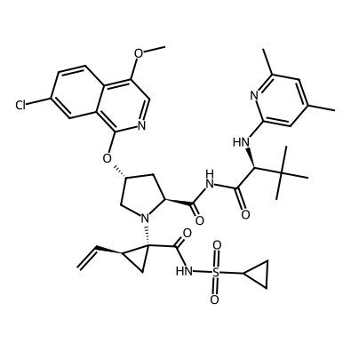 C=C[C@@H]1C[C@@]1(C(=O)NS(=O)(=O)C1CC1)N1C[C@H](Oc2ncc(OC)c3ccc(Cl)cc23)C[C@H]1C(=O)NC(=O)[C@@H](Nc1cc(C)cc(C)n1)C(C)(C)C